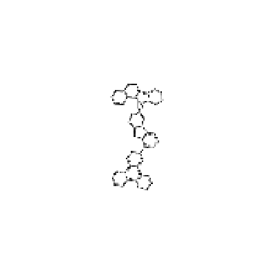 c1cc(-c2ccc3c4ccccc4c4ccccc4c3c2)c2c(c1)-c1cc(-n3c4ccccc4c4ccc5ccccc5c43)ccc1C2